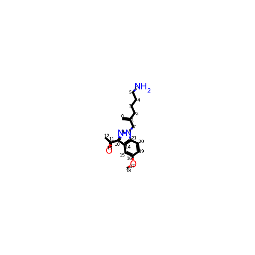 C=C(CCCCN)Cn1nc(C(C)=O)c2cc(OC)ccc21